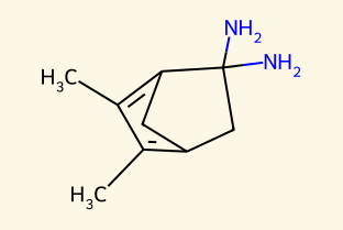 CC1=C2CC(=C1C)C(N)(N)C2